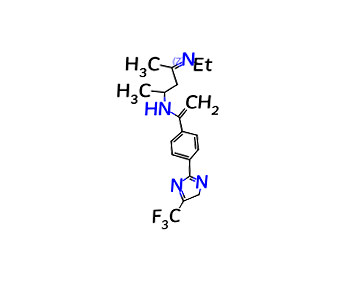 C=C(NC(C)C/C(C)=N\CC)c1ccc(C2=NCC(C(F)(F)F)=N2)cc1